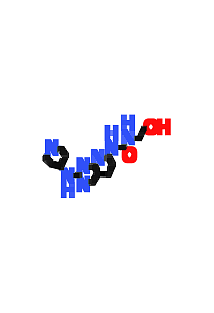 O=C(NCCO)Nc1ccc2cnc(Nc3ccncc3)nc2n1